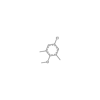 COc1c(C)cc(Cl)cc1C